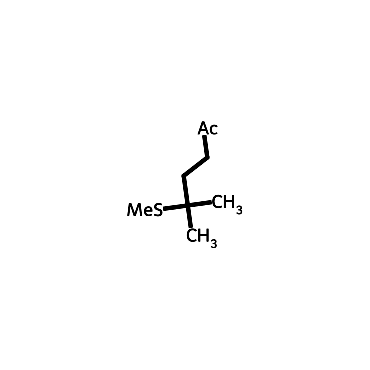 CSC(C)(C)CCC(C)=O